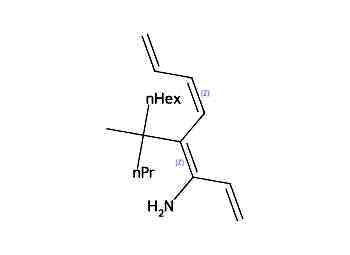 C=C/C=C\C(=C(\N)C=C)C(C)(CCC)CCCCCC